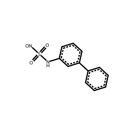 O=NS(=O)(=O)Nc1cccc(-c2ccccc2)c1